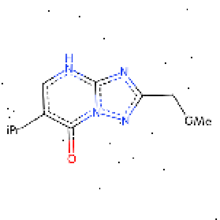 COCc1nc2[nH]cc(C(C)C)c(=O)n2n1